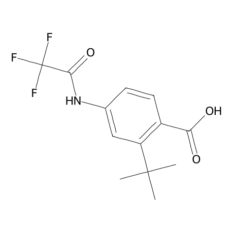 CC(C)(C)c1cc(NC(=O)C(F)(F)F)ccc1C(=O)O